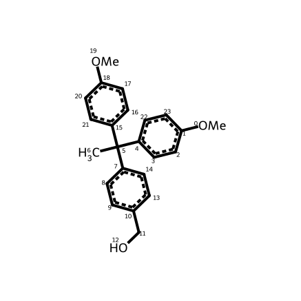 COc1ccc(C(C)(c2ccc(CO)cc2)c2ccc(OC)cc2)cc1